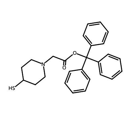 O=C(CN1CCC(S)CC1)OC(c1ccccc1)(c1ccccc1)c1ccccc1